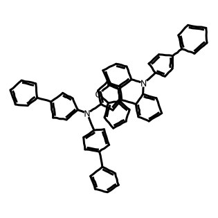 c1ccc(-c2ccc(N(c3ccc(-c4ccccc4)cc3)c3cccc(-c4ccccc4N(c4ccc(-c5ccccc5)cc4)c4cccc5oc6ccccc6c45)c3)cc2)cc1